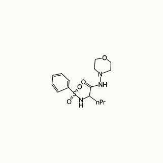 CCCC(NS(=O)(=O)c1ccccc1)C(=O)NN1CCOCC1